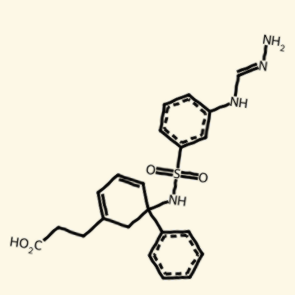 NN=CNc1cccc(S(=O)(=O)NC2(c3ccccc3)C=CC=C(CCC(=O)O)C2)c1